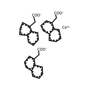 O=C([O-])Cc1cccc2ccccc12.O=C([O-])Cc1cccc2ccccc12.O=C([O-])Cc1cccc2ccccc12.[Ce+3]